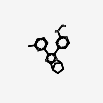 Cc1cccc(-c2nc3n(c2-c2ccnc(NC(C)(C)C)c2)C2CCC3C2)n1